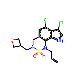 C=CCN1c2c(cc(Cl)c3c(Cl)c[nH]c23)CN(CC2COC2)S1(=O)=O